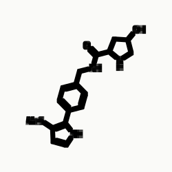 CSc1cc[nH]c1-c1ccc(CNC(=O)C2CC(O)CN2)cc1